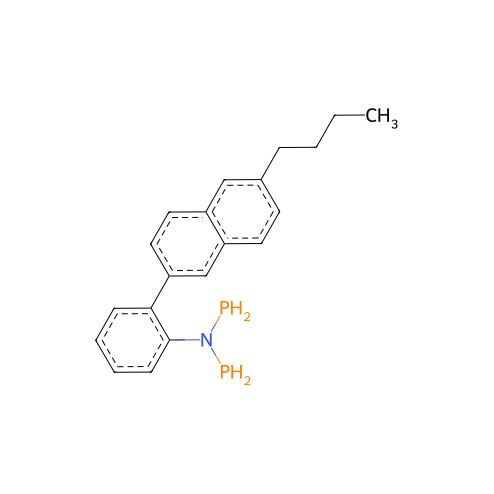 CCCCc1ccc2cc(-c3ccccc3N(P)P)ccc2c1